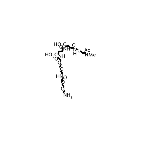 CN[C@@H](CCCCNC(=O)CC[C@H](NC(=O)CC[C@H](NC(=O)COCCOCCNC(=O)COCCOCCN)C(=O)O)C(=O)O)C(C)=O